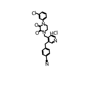 Cl.N#Cc1ccc(Cc2cnccc2CN2CCN(c3cccc(Cl)c3)C(=O)C2=O)cc1